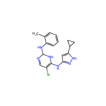 Cc1ccccc1NC1N=CC(Br)=C(Nc2cc(C3CC3)[nH]n2)N1